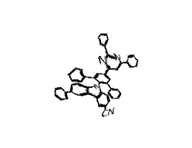 N#Cc1ccc2c(c1)c1cc(-c3ccccc3)ccc1n2-c1c(-c2ccccc2)cc(-c2cc(C3=CCCC=C3)nc(-c3ccccc3)n2)cc1-c1ccccc1